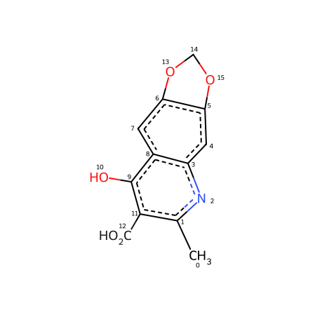 Cc1nc2cc3c(cc2c(O)c1C(=O)O)OCO3